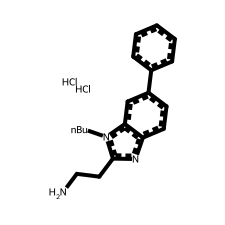 CCCCn1c(CCN)nc2ccc(-c3ccccc3)cc21.Cl.Cl